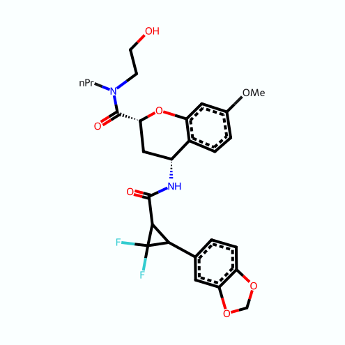 CCCN(CCO)C(=O)[C@H]1C[C@@H](NC(=O)C2C(c3ccc4c(c3)OCO4)C2(F)F)c2ccc(OC)cc2O1